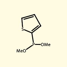 COP(OC)c1cccs1